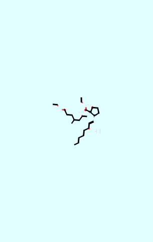 CCCCCC(O)C=C[C@H]1CCC(=O)[C@]1(CCCC(C)CCC(=O)OCC)C(=O)OCC